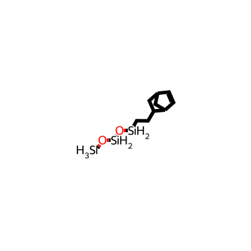 [SiH3]O[SiH2]O[SiH2]CCC1CC2C=CC1C2